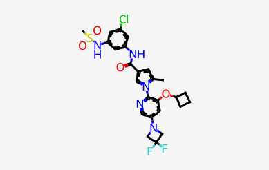 Cc1cc(C(=O)Nc2cc(Cl)cc(NS(C)(=O)=O)c2)cn1-c1ncc(N2CC(F)(F)C2)cc1OC1CCC1